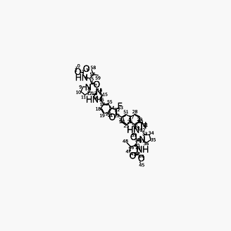 COC(=O)N[C@H](C(=O)N1CCC[C@H]1c1ncc(-c2ccc3oc(-c4ccc5c(ccc6nc([C@@H]7CCCN7C(=O)[C@@H](NC(=O)OC)C(C)C)[nH]c65)c4)c(F)c3c2)[nH]1)C(C)C